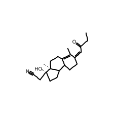 CCC(=O)/C=C1/CCC2C(=C1C)CC[C@@]1(C)C2CC[C@@]1(O)CC#N